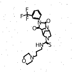 O=C1C2C3CC(CN3C(=S)NCCCN3CCOCC3)N2C(=O)N1c1cccc(C(F)(F)F)c1